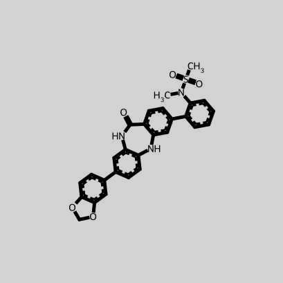 CN(c1ccccc1-c1ccc2c(c1)Nc1ccc(-c3ccc4c(c3)OCO4)cc1NC2=O)S(C)(=O)=O